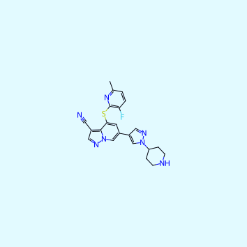 Cc1ccc(F)c(Sc2cc(-c3cnn(C4CCNCC4)c3)cn3ncc(C#N)c23)n1